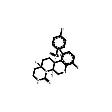 O=C1NCC[C@@H]2CC[C@@]3(S(=O)(=O)c4ccc(Cl)cc4)c4c(F)ccc(F)c4OC[C@H]3N12